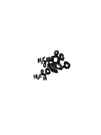 CC(=O)NCC1=CC(=O)C(=O)C2C(c3ccccc3)=CN(S(=O)(=O)c3ccc(NC(C)=O)cc3)C12